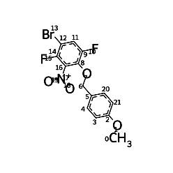 COc1ccc(COc2c(F)cc(Br)c(F)c2[N+](=O)[O-])cc1